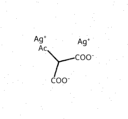 CC(=O)C(C(=O)[O-])C(=O)[O-].[Ag+].[Ag+]